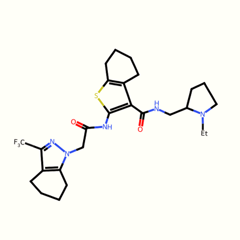 CCN1CCCC1CNC(=O)c1c(NC(=O)Cn2nc(C(F)(F)F)c3c2CCCC3)sc2c1CCCC2